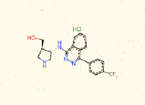 Cl.OC[C@@H]1CNC[C@H]1Nc1nnc(-c2ccc(C(F)(F)F)cc2)c2ccccc12